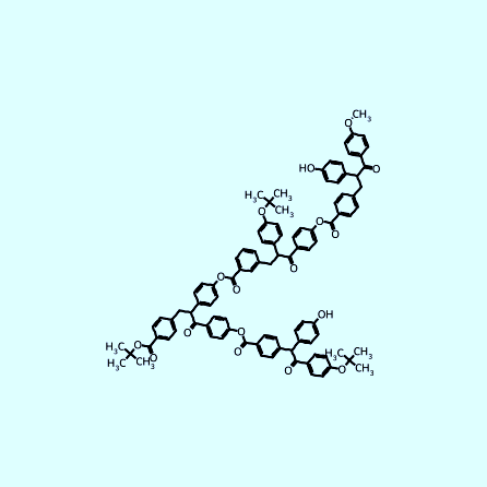 COc1ccc(C(=O)C(Cc2ccc(C(=O)Oc3ccc(C(=O)C(Cc4cccc(C(=O)Oc5ccc(C(Cc6ccc(C(=O)OC(C)(C)C)cc6)C(=O)c6ccc(OC(=O)c7ccc(C(C(=O)c8ccc(OC(C)(C)C)cc8)c8ccc(O)cc8)cc7)cc6)cc5)c4)c4ccc(OC(C)(C)C)cc4)cc3)cc2)c2ccc(O)cc2)cc1